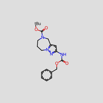 CC(C)(C)OC(=O)N1CCCn2nc(NC(=O)OCc3ccccc3)cc2C1